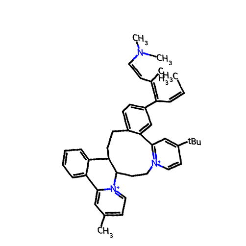 C\C=C/C(=C(C)/C=C\N(C)C)c1ccc2c(c1)-c1cc(C(C)(C)C)cc[n+]1CCC1C(CC2)c2ccccc2-c2cc(C)cc[n+]21